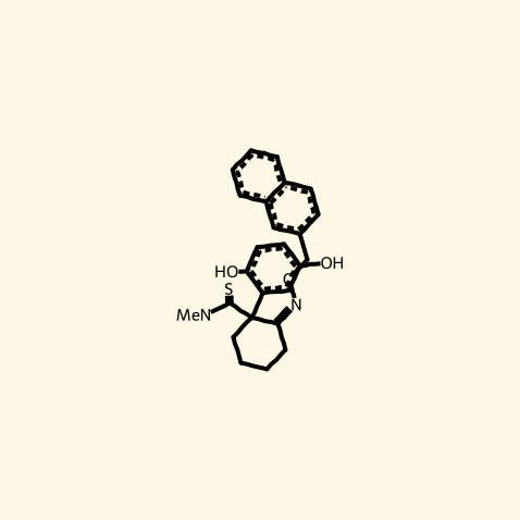 CNC(=S)C1(c2cc(O)ccc2O)CCCCC1=NOCc1ccc2ccccc2c1